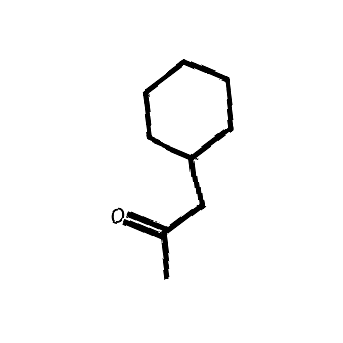 CC(=O)C[C]1CCCCC1